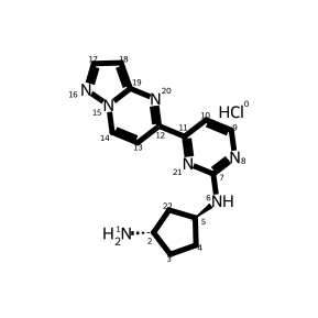 Cl.N[C@H]1CC[C@H](Nc2nccc(-c3ccn4nccc4n3)n2)C1